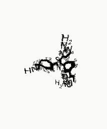 CCC(c1cccc(-c2nc(C3CCC4(CC3)CNC4)sc2-c2ccnc(N)n2)c1F)S(N)(=O)=O